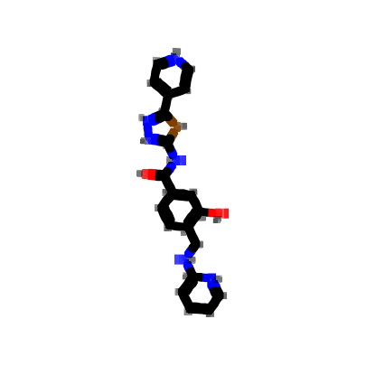 O=C(Nc1nnc(-c2ccncc2)s1)c1ccc(CNc2ccccn2)c(O)c1